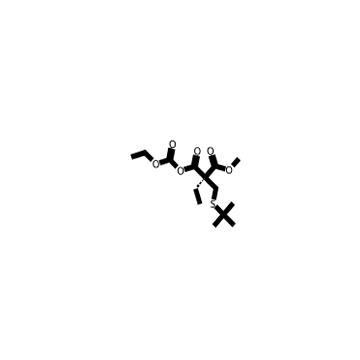 CCOC(=O)OC(=O)[C@](CC)(CSC(C)(C)C)C(=O)OC